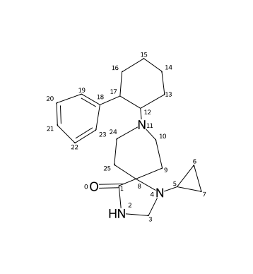 O=C1NCN(C2CC2)C12CCN(C1CCCCC1c1ccccc1)CC2